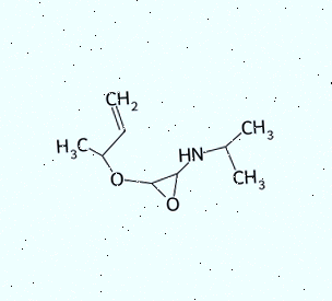 C=CC(C)OC1OC1NC(C)C